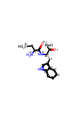 COC(=O)[C@H](Cc1c[nH]c2ccccc12)NC(=O)C(N)CC(=O)O